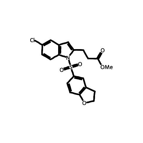 COC(=O)CCc1cc2cc(Cl)ccc2n1S(=O)(=O)c1ccc2c(c1)CCO2